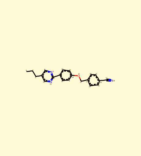 CCCc1cnc(-c2ccc(OCc3ccc(C#N)cc3)cc2)nc1